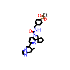 CCS(=O)(=O)c1ccc(CNC(=O)N2CC3(CCCC3)c3nc(-c4cn5ccnc5cc4C)ccc32)cc1